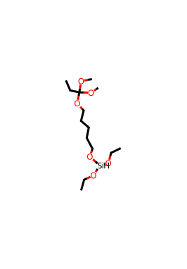 CCO[SiH](OCC)OCCCCCOC(CC)(OC)OC